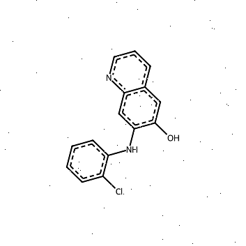 Oc1cc2cccnc2cc1Nc1ccccc1Cl